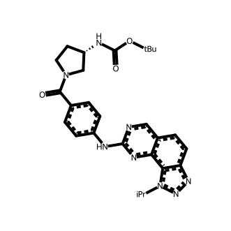 CC(C)n1nnc2ccc3cnc(Nc4ccc(C(=O)N5CC[C@H](NC(=O)OC(C)(C)C)C5)cc4)nc3c21